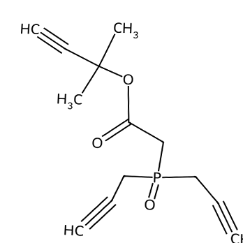 C#CCP(=O)(CC#C)CC(=O)OC(C)(C)C#C